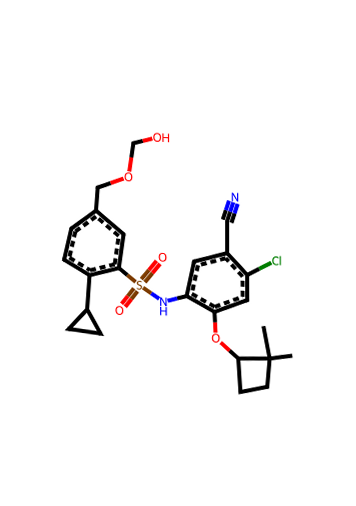 CC1(C)CCC1Oc1cc(Cl)c(C#N)cc1NS(=O)(=O)c1cc(COCO)ccc1C1CC1